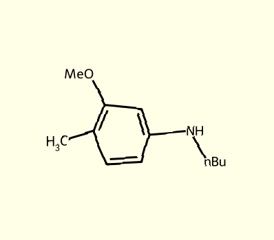 CCCCNc1ccc(C)c(OC)c1